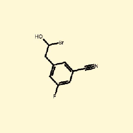 N#Cc1cc(F)cc(CC(O)Br)c1